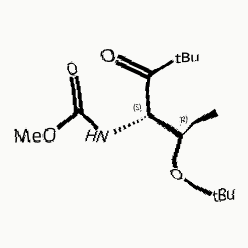 COC(=O)N[C@H](C(=O)C(C)(C)C)[C@@H](C)OC(C)(C)C